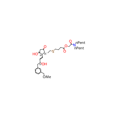 CCCCCN(CCCCC)C(=O)COC(=O)CCCSCC[C@H]1C(=O)C[C@@H](O)[C@@H]1C=C[C@@H](O)Cc1cccc(COC)c1